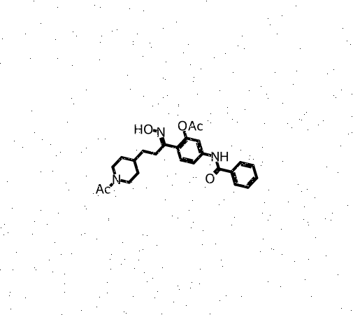 CC(=O)Oc1cc(NC(=O)c2ccccc2)ccc1C(CCC1CCN(C(C)=O)CC1)=NO